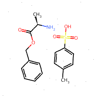 C[C@@H](N)C(=O)OCc1ccccc1.Cc1ccc(S(=O)(=O)O)cc1